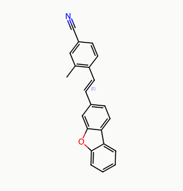 Cc1cc(C#N)ccc1/C=C/c1ccc2c(c1)oc1ccccc12